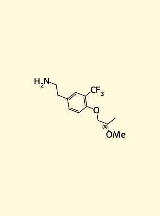 CO[C@@H](C)COc1ccc(CCN)cc1C(F)(F)F